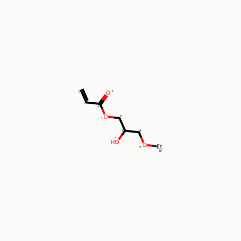 C=CC(=O)OCC(O)COCC